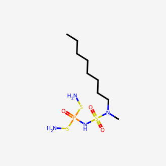 CCCCCCCCN(C)S(=O)(=O)NP(=O)(SN)SN